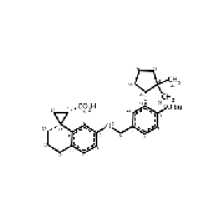 CC(C)COc1ccc(COc2ccc3c(c2)[C@@]2(CCC3)C[C@@H]2C(=O)O)cc1[C@@H]1CCCC1(C)C